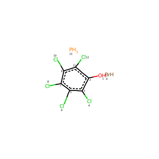 Br.Oc1c(Cl)c(Cl)c(Cl)c(Cl)c1Cl.P